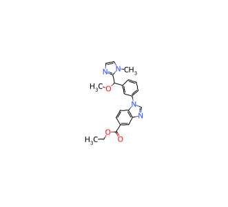 CCOC(=O)c1ccc2c(c1)ncn2-c1cccc(C(OC)c2nccn2C)c1